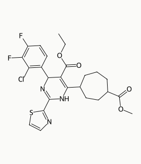 CCOC(=O)C1=C(C2CCCC(C(=O)OC)CC2)NC(c2nccs2)=NC1c1ccc(F)c(F)c1Cl